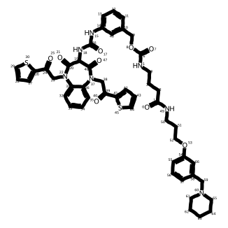 O=C(CCCNC(=O)OCc1cccc(NC(=O)NC2C(=O)N(CC(=O)c3cccs3)c3ccccc3N(CC(=O)c3cccs3)C2=O)c1)NCCCOc1cccc(CN2CCCCC2)c1